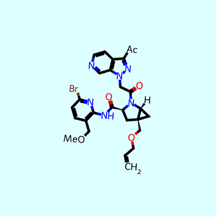 C=CCOC[C@@]12C[C@@H](C(=O)Nc3nc(Br)ccc3COC)N(C(=O)Cn3nc(C(C)=O)c4ccncc43)[C@@H]1C2